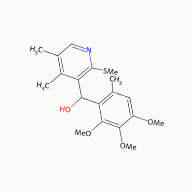 COc1cc(C)c(C(O)c2c(SC)ncc(C)c2C)c(OC)c1OC